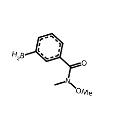 Bc1cccc(C(=O)N(C)OC)c1